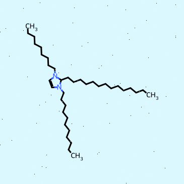 CCCCCCCCCCCCCCC1N(CCCCCCCCC)C=CN1CCCCCCCCCCC